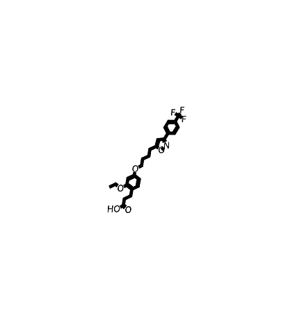 CCOc1cc(OCCCCc2cc(-c3ccc(C(F)(F)F)cc3)no2)ccc1CCC(=O)O